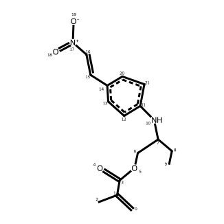 C=C(C)C(=O)OCC(CC)Nc1ccc(C=C[N+](=O)[O-])cc1